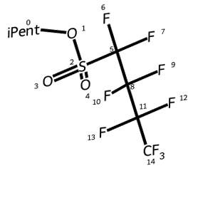 CCCC(C)OS(=O)(=O)C(F)(F)C(F)(F)C(F)(F)C(F)(F)F